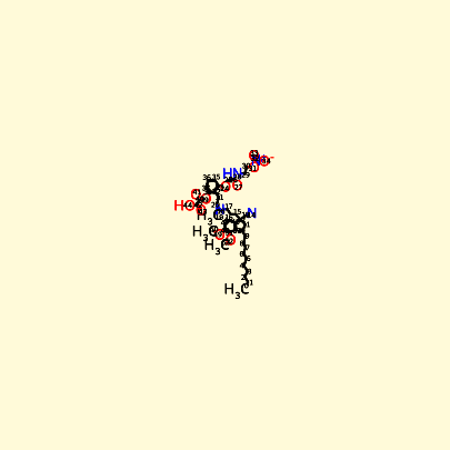 CCCCCCCCCCCCC(C#N)(CCCN(C)CCc1c(OCC(=O)NCCO[N+](=O)[O-])cccc1OC(=O)C(=O)O)c1ccc(OC)c(OC)c1